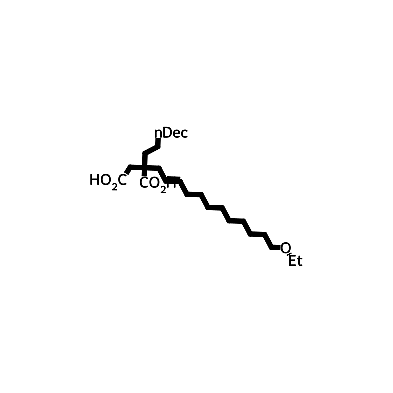 CCCCCCCCCCCCC(CC=CCCCCCCCCCOCC)(CC(=O)O)C(=O)O